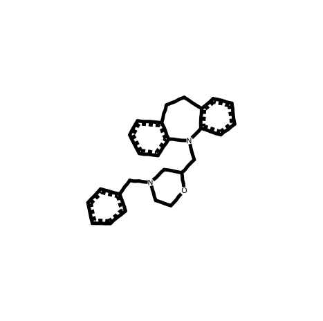 c1ccc(CN2CCOC(CN3c4ccccc4CCc4ccccc43)C2)cc1